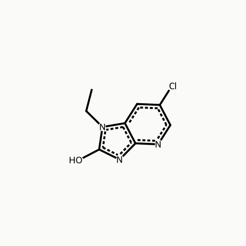 CCn1c(O)nc2ncc(Cl)cc21